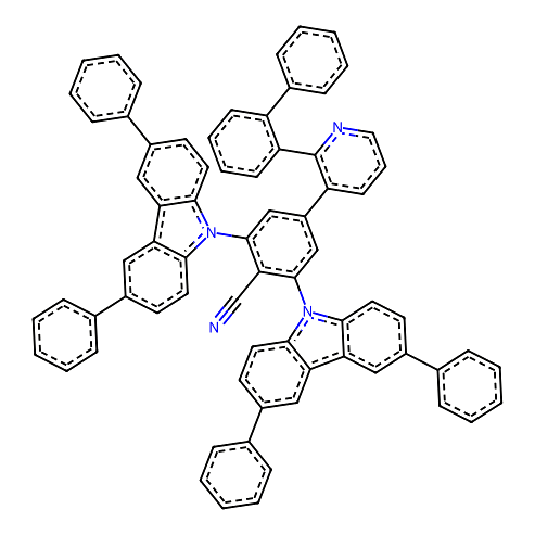 N#Cc1c(-n2c3ccc(-c4ccccc4)cc3c3cc(-c4ccccc4)ccc32)cc(-c2cccnc2-c2ccccc2-c2ccccc2)cc1-n1c2ccc(-c3ccccc3)cc2c2cc(-c3ccccc3)ccc21